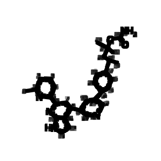 Cc1cccc(-c2cc(-c3cncc(-c4ccc(C(C)CC(C)(C)OC(N)=O)cc4)c3)c3cc[nH]c3n2)n1